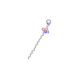 CCCCCCCCCCCCCCCCCCNC(=O)OCCN1CCCCC1